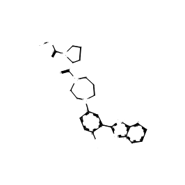 CC(C)(C)OC(=O)N1CCC[C@H]1C(=O)N1CCCN(c2ccc(Cl)c(-c3nc4ccccc4[nH]3)c2)CC1